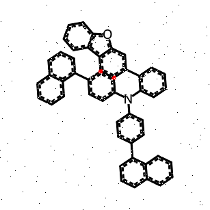 c1ccc(N(c2ccc(-c3cccc4ccccc34)cc2)c2ccc(-c3cccc4ccccc34)cc2)c(-c2ccc3c(c2)oc2ccccc23)c1